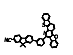 CC1(C)c2cc(C#N)ccc2-c2ccc(-c3cccc(-c4nc5c(ccc6c7ccccc7sc65)c5oc6ccccc6c45)c3)cc21